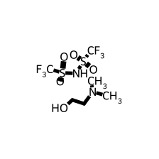 CN(C)CCO.O=S(=O)(NS(=O)(=O)C(F)(F)F)C(F)(F)F